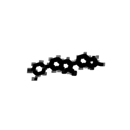 Cc1nc2ccc(-c3cc4ccc(N5CCN[C@@H](C)C5)cc4oc3=O)cc2s1